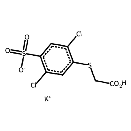 O=C(O)CSc1cc(Cl)c(S(=O)(=O)[O-])cc1Cl.[K+]